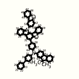 CC1(C)c2ccccc2-c2ccc(N(c3ccc(-c4ccccc4)cc3)c3ccc(-c4cc5c6ccccc6n(-c6ccc7oc8ccccc8c7c6)c5c5c4oc4ccccc45)cc3)cc21